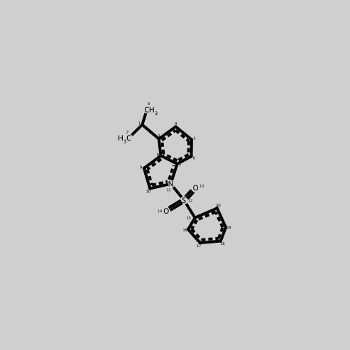 CC(C)c1cccc2c1ccn2S(=O)(=O)c1ccccc1